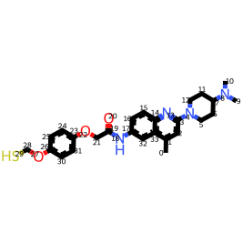 Cc1cc(N2CCC(N(C)C)CC2)nc2ccc(NC(=O)COc3ccc(OCS)cc3)cc12